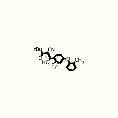 Cc1ccccc1Oc1ccc(/C(O)=C(\C#N)C(=O)C(C)(C)C)c(C(F)(F)F)c1